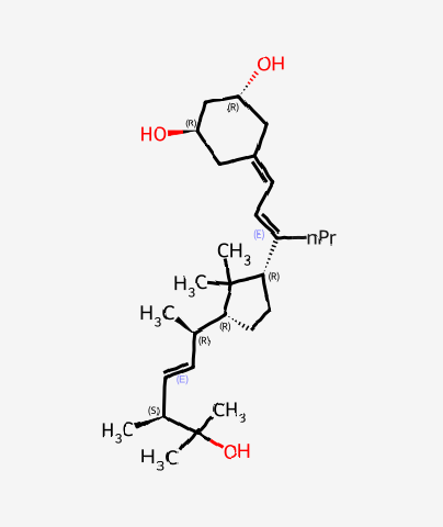 CCC/C(=C\C=C1C[C@@H](O)C[C@H](O)C1)[C@@H]1CC[C@H]([C@H](C)/C=C/[C@H](C)C(C)(C)O)C1(C)C